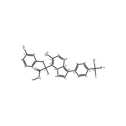 COC(=O)C(C)(Cc1cccc(F)c1)c1c(Cl)cnc2c(-c3ccc(C(F)(F)F)cc3)cnn12